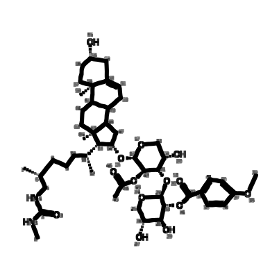 CNC(=O)NC[C@H](C)CCC[C@@H](C)[C@H]1[C@@H](O[C@@H]2OC[C@H](O)[C@H](O[C@@H]3OC[C@@H](O)[C@H](O)[C@H]3OC(=O)c3ccc(OC)cc3)[C@H]2OC(C)=O)CC2C3CC=C4C[C@@H](O)CC[C@]4(C)C3CC[C@@]21C